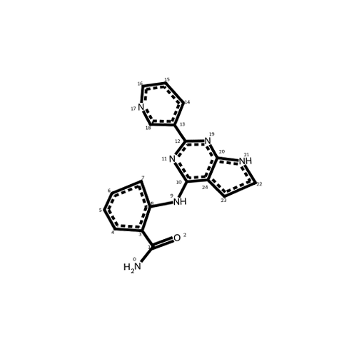 NC(=O)c1ccccc1Nc1nc(-c2cccnc2)nc2[nH]ccc12